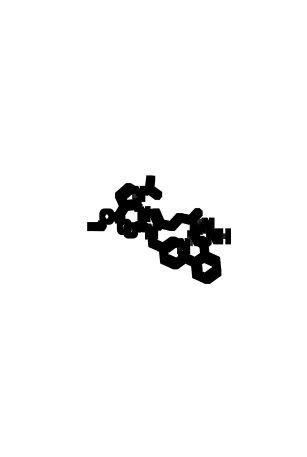 CCCCc1cn(-c2c(C(=O)OCC)ccn2C(C)C)c(=O)n1Cc1ccc(-c2ccccc2-c2nnn[nH]2)nc1